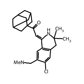 CNCc1cc2c(cc1Cl)CC(C)(C)N/C2=C\C(=O)C12CC3CC(CC(C3)C1)C2